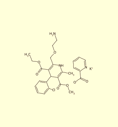 CCOC(=O)C1=C(COCCN)NC(C)=C(C(=O)OC)C1c1ccccc1Cl.O=C([O-])c1ccccn1.[K+]